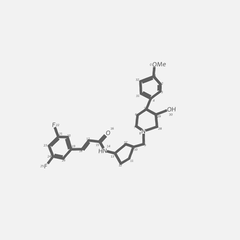 COc1ccc(C2CCN(CC3CCC(NC(=O)/C=C/c4cc(F)cc(F)c4)C3)CC2O)cc1